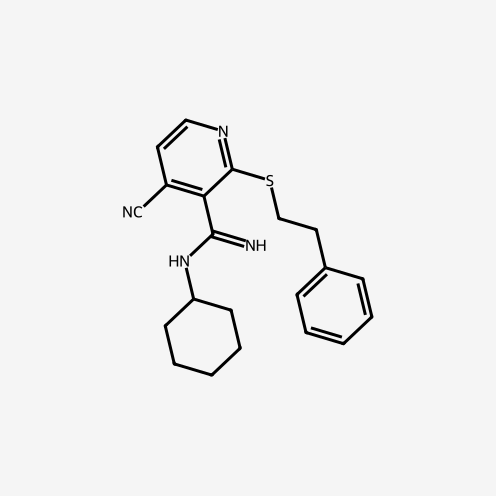 N#Cc1ccnc(SCCc2ccccc2)c1C(=N)NC1CCCCC1